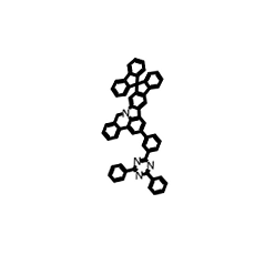 c1ccc(-c2nc(-c3ccccc3)nc(-c3cccc(-c4cc5c6c(c4)c4cc7c(cc4n6Cc4ccccc4-5)C4(c5ccccc5-c5ccccc54)c4ccccc4-7)c3)n2)cc1